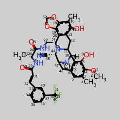 COc1c(C)cc2c(c1O)[C@H]1C3Cc4c(O)c(C)c5c(c4[C@H](CNC(=O)[C@@H](C)NC(=O)/C=C/c4cccc(C(F)(F)F)c4)N3[C@@H](C#N)C(C2)N1C)OCO5